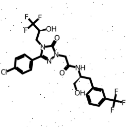 O=C(Cn1nc(-c2ccc(Cl)cc2)n(C[C@H](O)C(F)(F)F)c1=O)N[C@H](CO)Cc1cccc(C(F)(F)F)c1